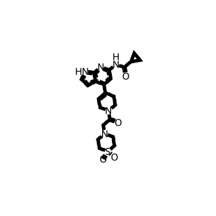 O=C(Nc1cc(C2=CCN(C(=O)CN3CCS(=O)(=O)CC3)CC2)c2cc[nH]c2n1)C1CC1